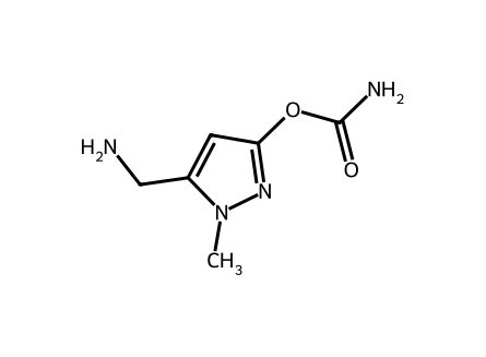 Cn1nc(OC(N)=O)cc1CN